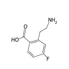 NCCc1cc(F)ccc1C(=O)O